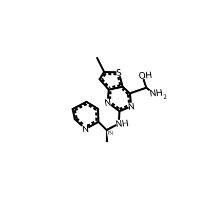 Cc1cc2nc(N[C@@H](C)c3ccccn3)nc(C(N)O)c2s1